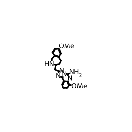 COc1ccc2c(c1)CCC(Cc1nc3c4cccc(OC)c4nc(N)n3n1)NC2